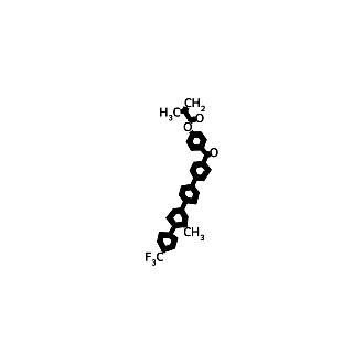 C=C(C)C(=O)Oc1ccc(C(=O)c2ccc(-c3ccc(-c4ccc(-c5ccc(C(F)(F)F)cc5)c(C)c4)cc3)cc2)cc1